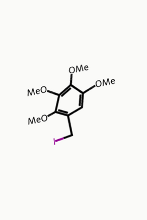 COc1cc(CI)c(OC)c(OC)c1OC